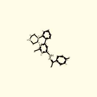 CC(=NNc1cc(-c2ccccc2N2CCOCC2)nc(C)n1)c1ccc(C)cc1